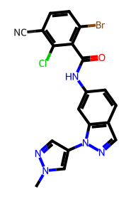 Cn1cc(-n2ncc3ccc(NC(=O)c4c(Br)ccc(C#N)c4Cl)cc32)cn1